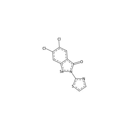 O=c1c2cc(Cl)c(Cl)cc2[se]n1-c1nccs1